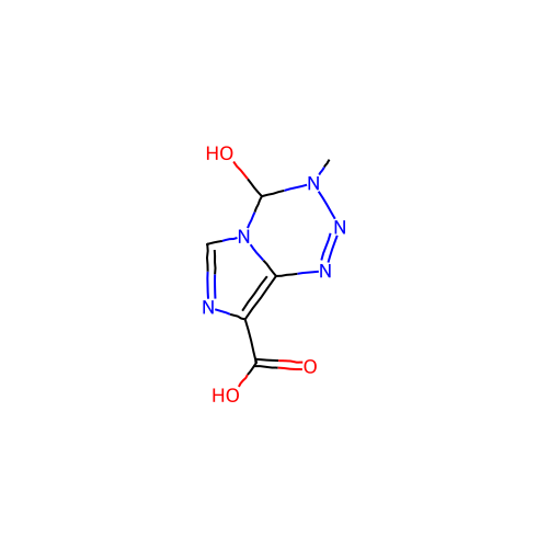 CN1N=Nc2c(C(=O)O)ncn2C1O